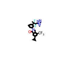 Cn1cnnc1C(F)C(C)(F)c1cccc(N2Cc3c(cc(C4CC4)cc3C(F)(F)F)C2=O)c1